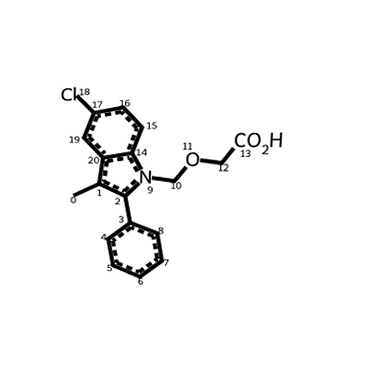 Cc1c(-c2ccccc2)n(COCC(=O)O)c2ccc(Cl)cc12